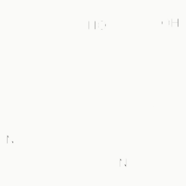 Oc1cc2c(cc1O)C(c1ccncc1)=NCC2